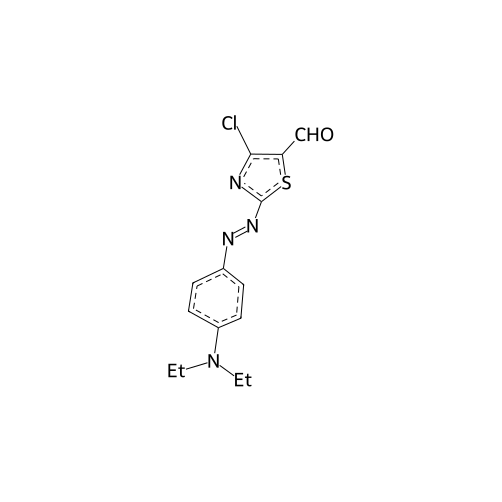 [CH2]CN(CC)c1ccc(/N=N/c2nc(Cl)c(C=O)s2)cc1